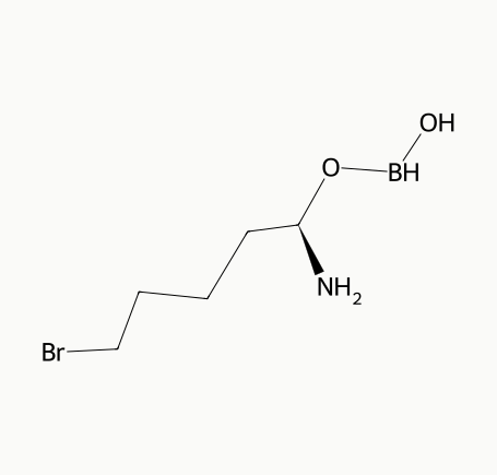 N[C@@H](CCCCBr)OBO